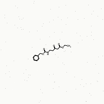 CCOC(=O)CC(=O)CCNC(=O)OCc1ccccc1